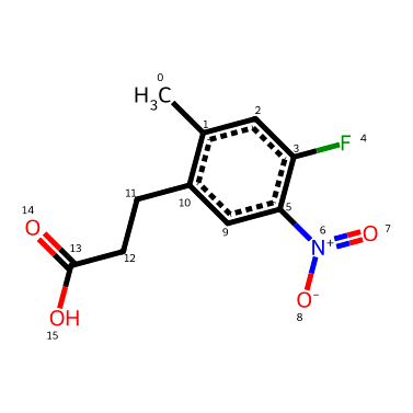 Cc1cc(F)c([N+](=O)[O-])cc1CCC(=O)O